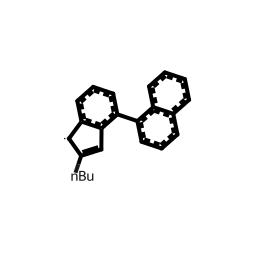 CCCCC1=Cc2c(cccc2-c2cccc3ccccc23)[CH]1